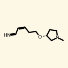 CN1CC[C@@H](OCC/C=C\C=N)C1